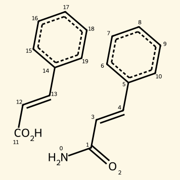 NC(=O)/C=C/c1ccccc1.O=C(O)/C=C/c1ccccc1